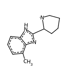 Cc1cccc2[nH]c(C3CCCC[N]3)nc12